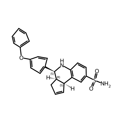 NS(=O)(=O)c1ccc2c(c1)[C@H]1C=CC[C@H]1[C@@H](c1ccc(Oc3ccccc3)cc1)N2